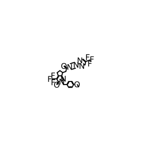 COc1ccc(Cn2nc3c(c(C(F)(F)F)c2=O)CCC3CC(=O)N2CCN(c3ncc(C(F)(F)F)cn3)CC2)cc1